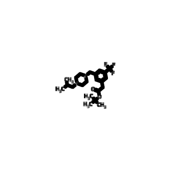 C[C](C)CN1CCN(Cc2cc(CC(=O)OC(C)(C)C)cc(C(F)(F)F)c2)CC1